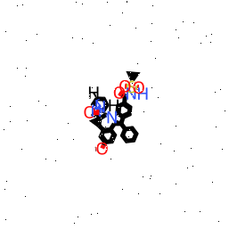 COc1ccc2c(c1)C1CC1(C(=O)N1[C@@H]3C[C@H]1CN(C)C3)Cn1c-2c(C2CCCCC2)c2ccc(C(=O)NS(=O)(=O)C3CC3)cc21